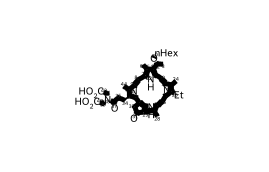 CCCCCCOC(C)c1c(C)c2cc3nc(c4c5[nH]c(cc6nc(cc1[nH]2)C(C)=C6CC)c(C)c5C(=O)C4)[C@@H](CCC(=O)N(CC(=O)O)CC(=O)O)C3C